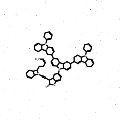 C/C=C\CCC1C2CCC=CC2N1C#CC1C(CC)SC2=CC=C(N3C4C=CC(C5C=C6C7CCC=CC7N(C7=CC=CCC7)C6CC5)CC4C4CC(C5C=CC6C(C5)C5CCC=CC5N6C5=CC=CCC5)C=CC43)CC21